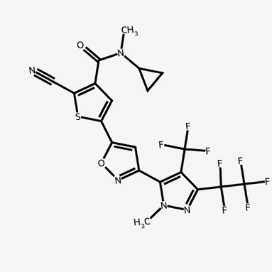 CN(C(=O)c1cc(-c2cc(-c3c(C(F)(F)F)c(C(F)(F)C(F)(F)F)nn3C)no2)sc1C#N)C1CC1